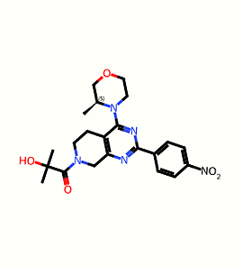 C[C@H]1COCCN1c1nc(-c2ccc([N+](=O)[O-])cc2)nc2c1CCN(C(=O)C(C)(C)O)C2